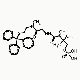 CN(CCSC(c1ccccc1)(c1ccccc1)c1ccccc1)C(=O)CCNC(=O)C(O)C(C)(C)COP(=O)(O)O